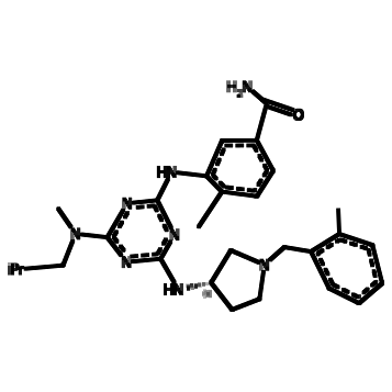 Cc1ccccc1CN1CC[C@H](Nc2nc(Nc3cc(C(N)=O)ccc3C)nc(N(C)CC(C)C)n2)C1